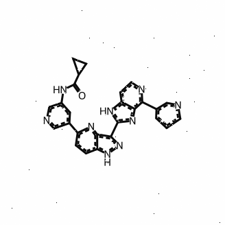 O=C(Nc1cncc(-c2ccc3[nH]nc(-c4nc5c(-c6cccnc6)nccc5[nH]4)c3n2)c1)C1CC1